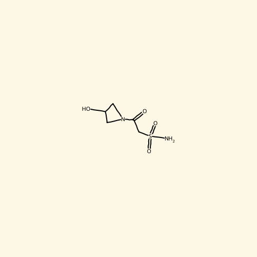 NS(=O)(=O)CC(=O)N1CC(O)C1